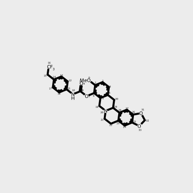 COc1ccc2c(c1OC(=O)Nc1ccc(CC(F)(F)F)cc1)CN1CCc3cc4c(cc3C1C2)OCO4